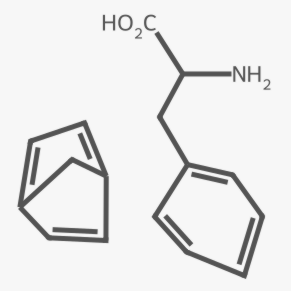 C1=CC2=CC=C1C2.NC(Cc1ccccc1)C(=O)O